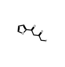 O=C(CF)CC(=O)c1ccco1